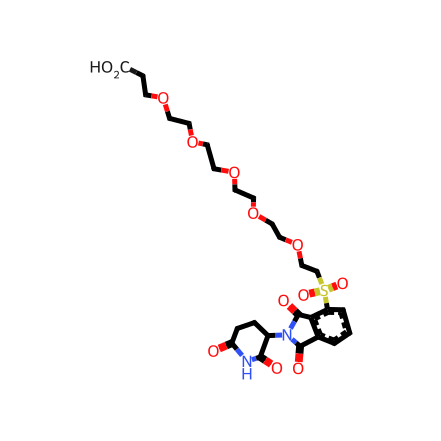 O=C(O)CCOCCOCCOCCOCCOCCS(=O)(=O)c1cccc2c1C(=O)N(C1CCC(=O)NC1=O)C2=O